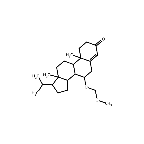 COCOC1CC2=CC(=O)CCC2(C)C2CCC3(C)C(C(C)C)CCC3C12